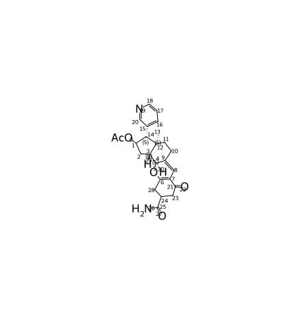 CC(=O)OC1C[C@H]2[C@@H]3OC4=C(C=C3CC[C@]2(C)[C@H]1c1cccnc1)C(=O)CC(C(N)=O)C4